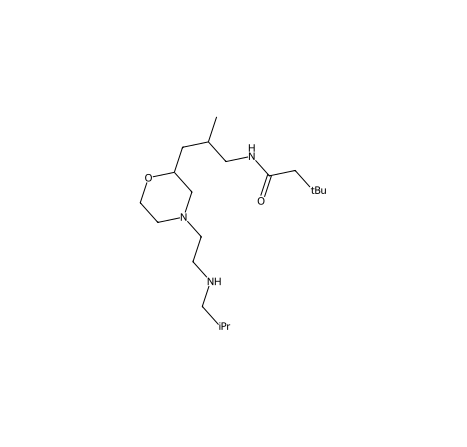 CC(C)CNCCN1CCOC(CC(C)CNC(=O)CC(C)(C)C)C1